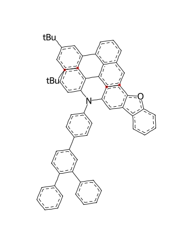 CC(C)(C)c1cc(-c2cccc3cccc(-c4ccccc4N(c4ccc(-c5ccc(-c6ccccc6)c(-c6ccccc6)c5)cc4)c4ccc5oc6ccccc6c5c4)c23)cc(C(C)(C)C)c1